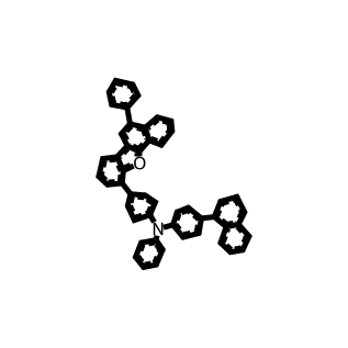 c1ccc(-c2cc3c4cccc(-c5ccc(N(c6ccccc6)c6ccc(-c7cccc8ccccc78)cc6)cc5)c4oc3c3ccccc23)cc1